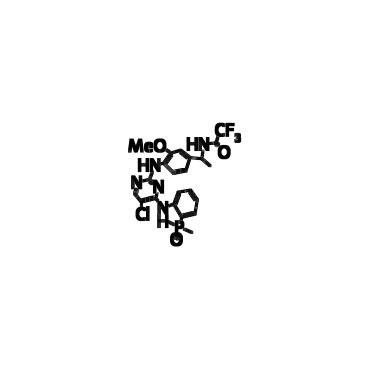 COc1cc(C(C)NC(=O)C(F)(F)F)ccc1Nc1ncc(Cl)c(Nc2ccccc2P(C)(C)=O)n1